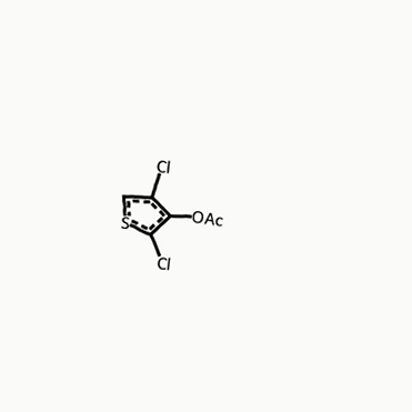 CC(=O)Oc1c(Cl)csc1Cl